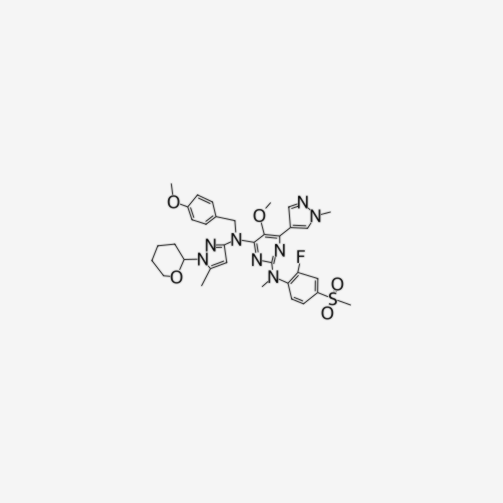 COc1ccc(CN(c2cc(C)n(C3CCCCO3)n2)c2nc(N(C)c3ccc(S(C)(=O)=O)cc3F)nc(-c3cnn(C)c3)c2OC)cc1